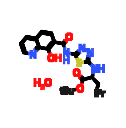 CC(C)C[C@H](Nc1nnc(NC(=O)c2ccc3cccnc3c2O)s1)C(=O)OC(C)(C)C.O